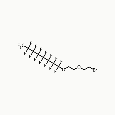 FC(F)(F)C(F)(F)C(F)(F)C(F)(F)C(F)(F)C(F)(F)C(F)(F)C(F)(F)OCCOCCBr